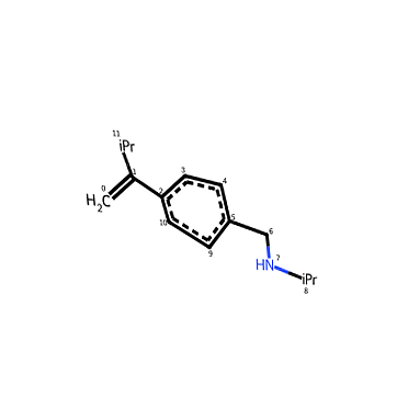 C=C(c1ccc(CNC(C)C)cc1)C(C)C